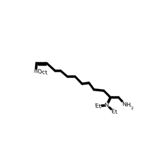 CCCCCCCC/C=C\CCCCCCCCC(CN)N(CC)CC